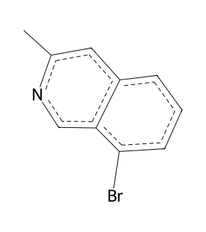 Cc1cc2cccc(Br)c2cn1